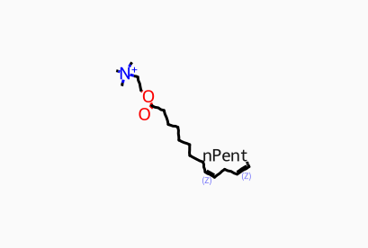 CCCCC/C=C\C/C=C\CCCCCCCC(=O)OCC[N+](C)(C)C